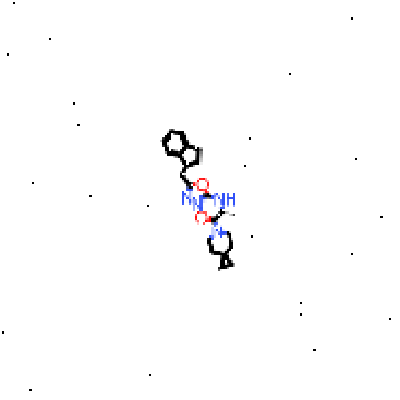 C[C@@H](Nc1nnc(CC2CCc3ccccc32)o1)C(=O)N1CCC2(CC1)CC2